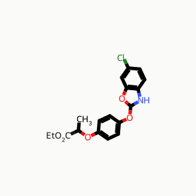 CCOC(=O)C(C)Oc1ccc(OC2Nc3ccc(Cl)cc3O2)cc1